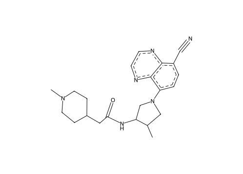 CC1CN(c2ccc(C#N)c3nccnc23)CC1NC(=O)CC1CCN(C)CC1